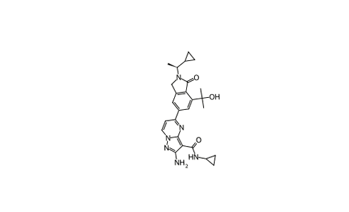 C[C@@H](C1CC1)N1Cc2cc(-c3ccn4nc(N)c(C(=O)NC5CC5)c4n3)cc(C(C)(C)O)c2C1=O